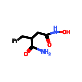 CC(C)CC(CC(=O)NO)C(N)=O